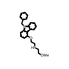 COCCNCCOc1cccc2c1c1ccccc1n2Cc1ccccc1